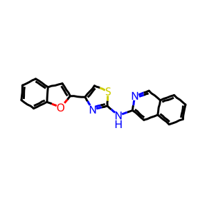 c1ccc2cc(Nc3nc(-c4cc5ccccc5o4)cs3)ncc2c1